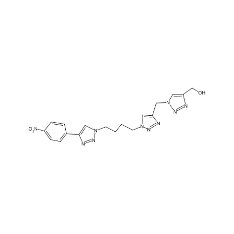 O=[N+]([O-])c1ccc(-c2cn(CCCCn3cc(Cn4cc(CO)nn4)nn3)nn2)cc1